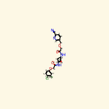 N#Cc1ccc(COCC(=O)NC23CC(NC(=O)COc4ccc(Cl)c(F)c4)(C2)C3)cn1